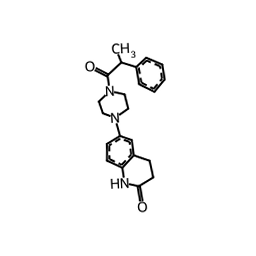 CC(C(=O)N1CCN(c2ccc3c(c2)CCC(=O)N3)CC1)c1ccccc1